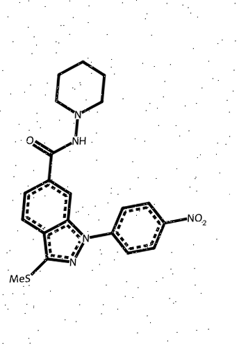 CSc1nn(-c2ccc([N+](=O)[O-])cc2)c2cc(C(=O)NN3CCCCC3)ccc12